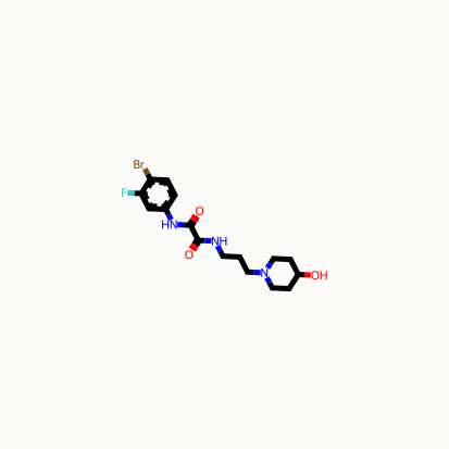 O=C(NCCCN1CCC(O)CC1)C(=O)Nc1ccc(Br)c(F)c1